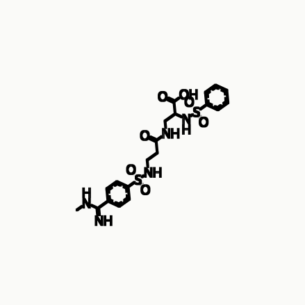 CNC(=N)c1ccc(S(=O)(=O)NCCC(=O)NCC(NS(=O)(=O)c2ccccc2)C(=O)O)cc1